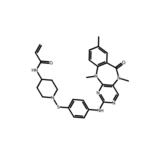 C=CC(=O)NC1CCN(Sc2ccc(Nc3ncc4c(n3)N(C)c3ccc(C)cc3C(=O)N4C)cc2)CC1